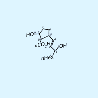 CCCCCCC(O)C=CC1CCC(O)C1C(=O)O